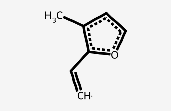 [CH]=Cc1occc1C